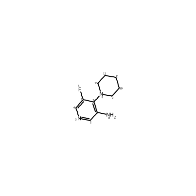 Nc1cncc(F)c1N1CCCCC1